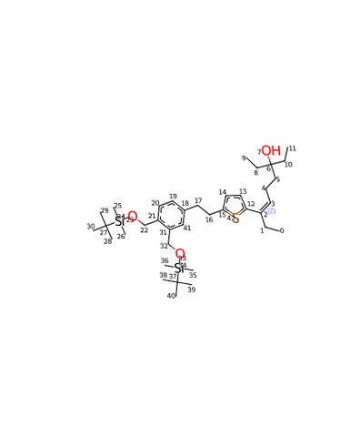 CC/C(=C/CCC(O)(CC)CC)c1ccc(CCc2ccc(CO[Si](C)(C)C(C)(C)C)c(CO[Si](C)(C)C(C)(C)C)c2)s1